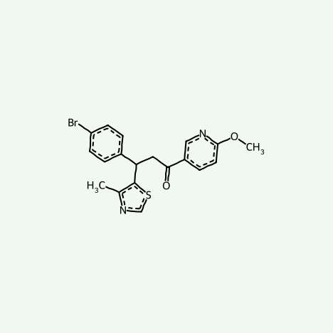 COc1ccc(C(=O)CC(c2ccc(Br)cc2)c2scnc2C)cn1